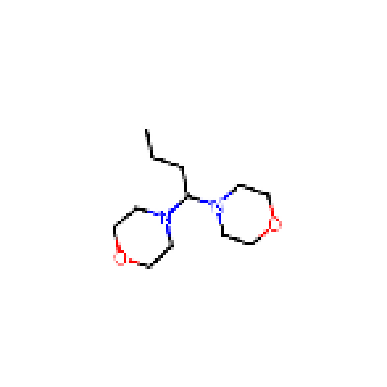 CCCC(N1CCOCC1)N1CCOCC1